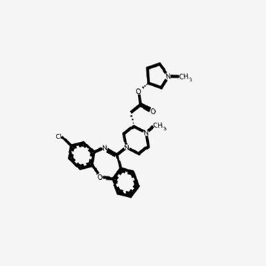 CN1CC[C@@H](OC(=O)C[C@H]2CN(C3=Nc4cc(Cl)ccc4Oc4ccccc43)CCN2C)C1